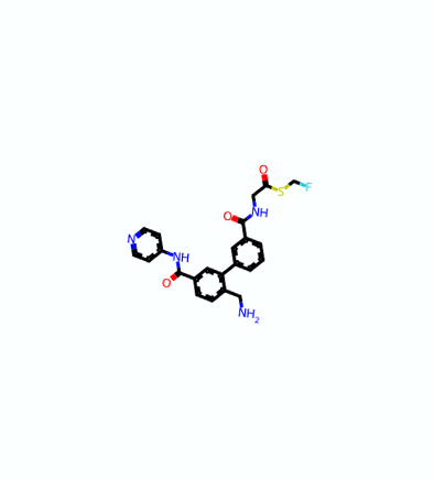 NCc1ccc(C(=O)Nc2ccncc2)cc1-c1cccc(C(=O)NCC(=O)SCF)c1